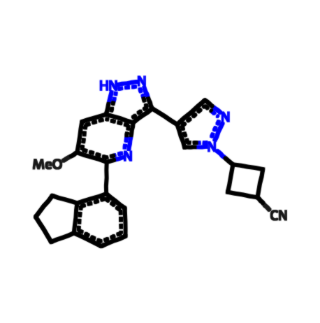 COc1cc2[nH]nc(-c3cnn(C4CC(C#N)C4)c3)c2nc1-c1cccc2c1CCC2